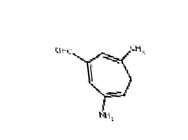 CC1=CC(C=O)=CC(N)=CC1